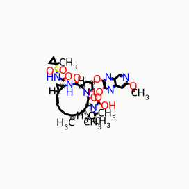 CC[C@@H]1C[C@H](C)CCC=C[C@@H]2C[C@@]2(C(=O)NS(=O)(=O)C2(C)CC2)NC(=O)[C@@H]2C[C@@H](Oc3nc4cnc(OC)cc4nc3O)CN2C(=O)[C@H]1N(C(=O)O)C(C)(C)C